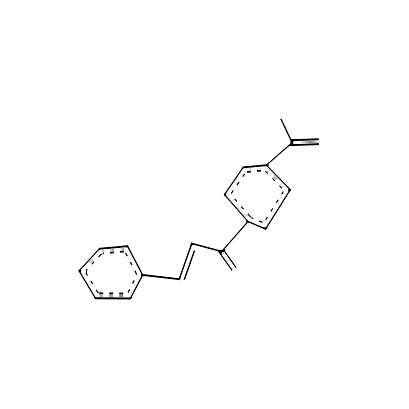 O=C(Cl)c1ccc(C(=O)C=Cc2ccccc2)cc1